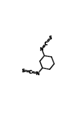 S=C=NC1CCCC(N=C=S)C1